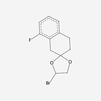 Fc1cccc2c1CC1(CC2)OCC(Br)O1